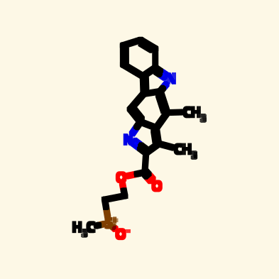 CC1=c2c(cc3c(c2C)N=c2ccccc2=3)N=C1C(=O)OCC[S+](C)[O-]